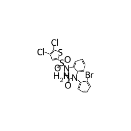 NC(=O)N(c1ccccc1Br)c1ccccc1NS(=O)(=O)c1cc(Cl)c(Cl)s1